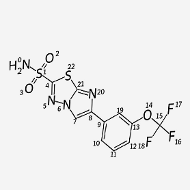 NS(=O)(=O)c1nn2cc(-c3cccc(OC(F)(F)F)c3)nc2s1